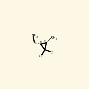 C[C@H]1[C@@H](CN)C1(Cl)Cl